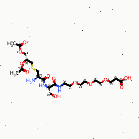 CC(=O)OC[C@H](CSC[C@H](N)C(=O)N[C@@H](CO)C(=O)NCCOCCOCCOCCC(=O)O)OC(C)=O